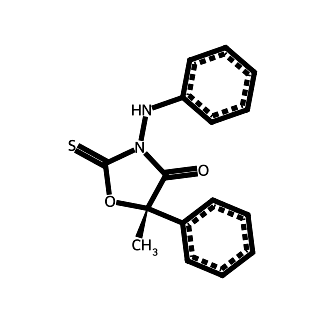 C[C@@]1(c2ccccc2)OC(=S)N(Nc2ccccc2)C1=O